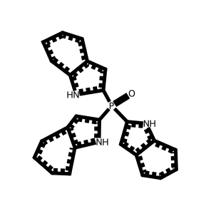 O=P(c1cc2ccccc2[nH]1)(c1cc2ccccc2[nH]1)c1cc2ccccc2[nH]1